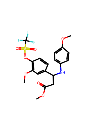 COC(=O)CC(Nc1ccc(OC)cc1)c1ccc(OS(=O)(=O)C(F)(F)F)c(OC)c1